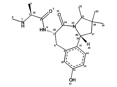 CN[C@@H](C)C(=O)N[C@H]1Cc2cc(O)ccc2[C@H]2CC(C)(C)C(C)N2C1=O